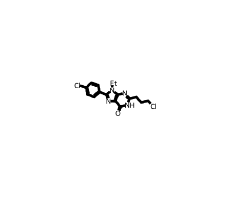 CCn1c(-c2ccc(Cl)cc2)nc2c(=O)[nH]c(CCCCl)nc21